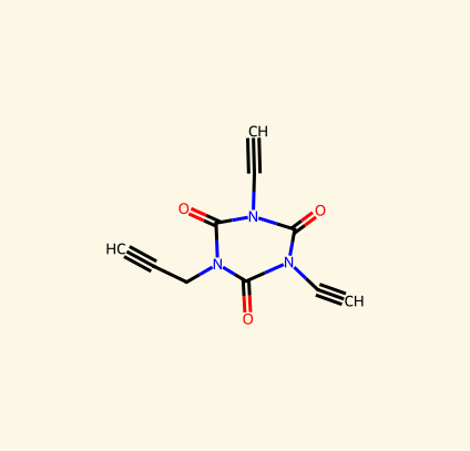 C#CCn1c(=O)n(C#C)c(=O)n(C#C)c1=O